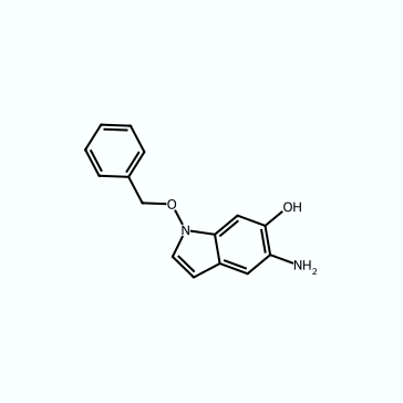 Nc1cc2ccn(OCc3ccccc3)c2cc1O